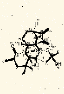 C=C1CC(C)(C)[C@H]2[C@H](O)[C@@]3(OC(C)(C)O)OC[C@]2(C1=O)[C@@H]1CC[C@H]2C(=C)C(=O)[C@]13[C@@H]2C